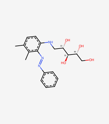 Cc1ccc(NC[C@H](O)[C@H](O)[C@H](O)CO)c(N=Nc2ccccc2)c1C